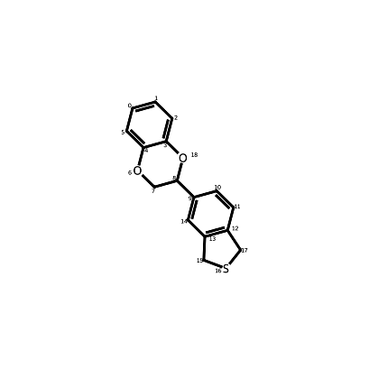 c1ccc2c(c1)OCC(c1ccc3c(c1)CSC3)O2